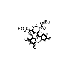 CC(C)(C)OC(=O)N1CCc2c(C(=O)O)nn(-c3ccc(Cl)cc3Cl)c2C(=Cc2ccc(F)cc2)C1